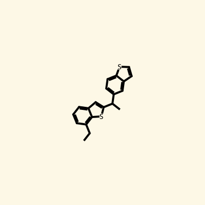 CCc1cccc2cc(C(C)c3ccc4sccc4c3)sc12